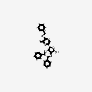 CC[C@H]1O[C@@H](c2cnc(OCc3ccccc3)c(C)n2)[C@@H](OCc2ccccc2)C1OCc1ccccc1